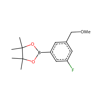 COCc1cc(F)cc(B2OC(C)(C)C(C)(C)O2)c1